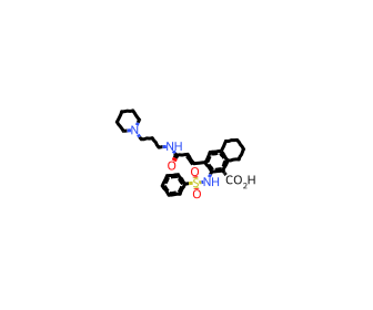 O=C(C=Cc1cc2c(c(C(=O)O)c1NS(=O)(=O)c1ccccc1)CCCC2)NCCCN1CCCCC1